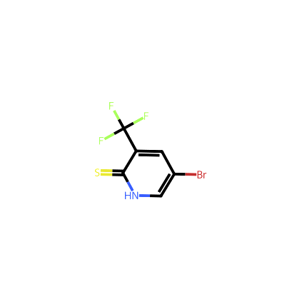 FC(F)(F)c1cc(Br)c[nH]c1=S